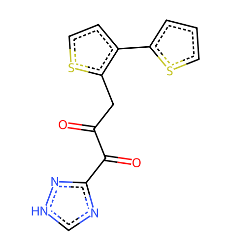 O=C(Cc1sccc1-c1cccs1)C(=O)c1nc[nH]n1